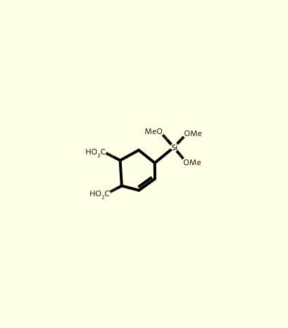 CO[Si](OC)(OC)C1C=CC(C(=O)O)C(C(=O)O)C1